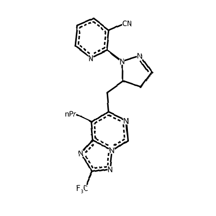 CCCc1c(CC2CC=NN2c2ncccc2C#N)ncn2nc(C(F)(F)F)nc12